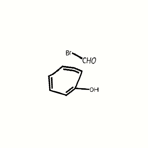 O=CBr.Oc1ccccc1